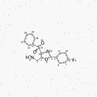 NCc1oc(-c2ccc(F)cc2)nc1S(=O)(=O)c1ccccc1